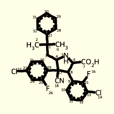 CC(C)(CC1NC(C(=O)O)C(c2cccc(Cl)c2F)C1(C#N)c1ccc(Cl)cc1F)c1ccccc1